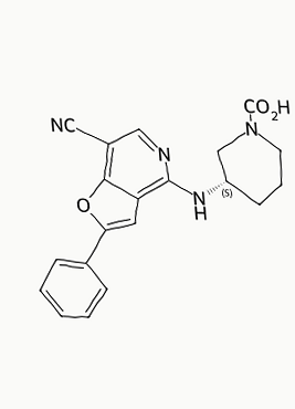 N#Cc1cnc(N[C@H]2CCCN(C(=O)O)C2)c2cc(-c3ccccc3)oc12